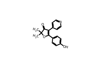 CC1(C)OC(c2ccc(O)cc2)=C(c2ccncc2)C1=O